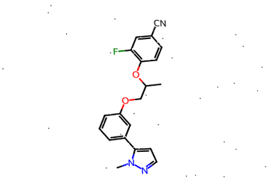 CC(COc1cccc(-c2ccnn2C)c1)Oc1ccc(C#N)cc1F